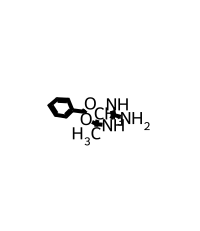 CC(C)(NC(=N)N)OC(=O)c1ccccc1